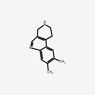 Cc1cc2ncc3c(c2cc1C)CCNC3